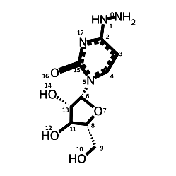 NNc1ccn([C@@H]2O[C@H](CO)C(O)[C@@H]2O)c(=O)n1